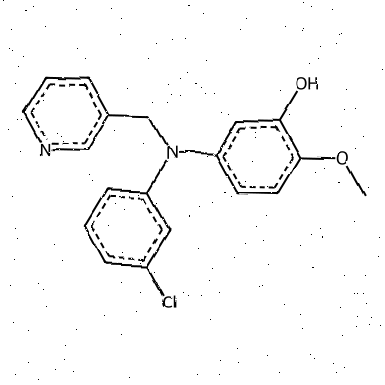 COc1ccc(N(Cc2cccnc2)c2cccc(Cl)c2)cc1O